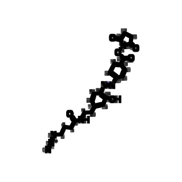 [N-]=[N+]=NCCCC(=O)NCCc1ccc(/N=N/c2ccc(C(=O)ON3C(=O)CCC3=O)cc2)c(O)c1